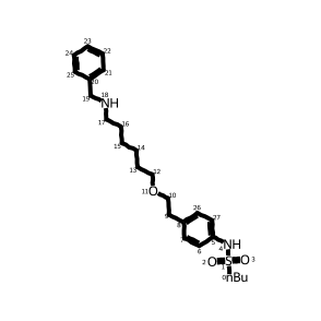 CCCCS(=O)(=O)Nc1ccc(CCOCCCCCCNCc2ccccc2)cc1